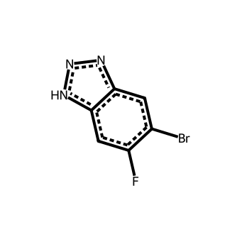 Fc1cc2[nH]nnc2cc1Br